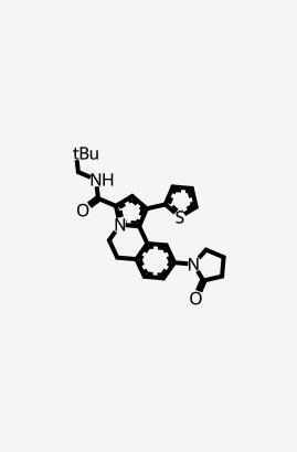 CC(C)(C)CNC(=O)c1cc(-c2cccs2)c2n1CCc1ccc(N3CCCC3=O)cc1-2